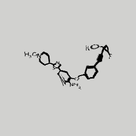 CN1CCC(c2ncc(-c3cnc(N)c(OCc4cccc(C#CC5(O)CC5F)c4)c3)s2)CC1